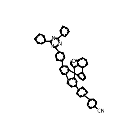 N#Cc1ccc(-c2ccc(-c3ccc4c(c3)C3(c5cc(-c6ccc(-c7nc(-c8ccccc8)nc(-c8ccccc8)n7)cc6)ccc5-4)c4ccccc4-c4cccc5cccc3c45)cc2)cc1